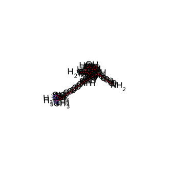 C/C(=N/O)C(C)(C)CCCC(CCCC(=O)CCCC(=O)CCCOCCOCCOCCOCCOCCNC(=O)COCC(=O)NCCCC[C@@H]1NC(=O)CSC[C@@H](C(=O)CCCOCCOCCOCCCC(=O)COCC(N)=O)NC(=O)[C@H](Cc2ccccc2)CC(=O)[C@@H]2CSSC[C@H](NC1=O)C(=O)C[C@@H](CCCNC(=N)N)C(=O)NCC(=O)C[C@@H](CC(=O)O)C(=O)N2)CCNC(C)(C)/C(C)=N\O